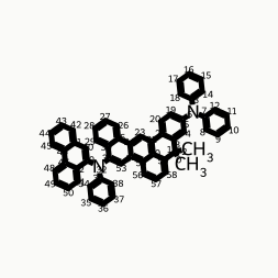 CC1(C)c2cc(N(c3ccccc3)c3ccccc3)ccc2-c2cc3c4ccccc4c(N(c4ccccc4)c4cc5ccccc5c5ccccc45)cc3c3cccc1c23